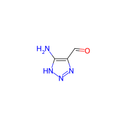 Nc1[nH]nnc1C=O